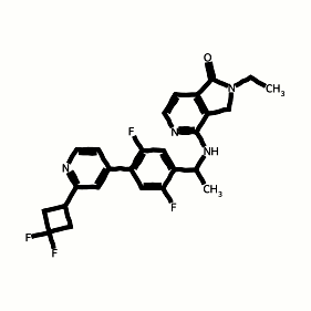 CCN1Cc2c(ccnc2NC(C)c2cc(F)c(-c3ccnc(C4CC(F)(F)C4)c3)cc2F)C1=O